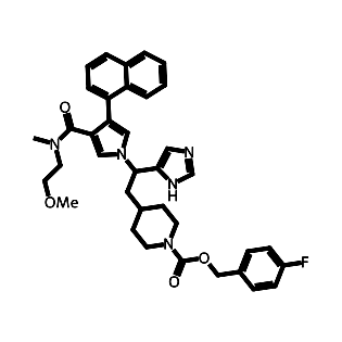 COCCN(C)C(=O)c1cn(C(CC2CCN(C(=O)OCc3ccc(F)cc3)CC2)c2cnc[nH]2)cc1-c1cccc2ccccc12